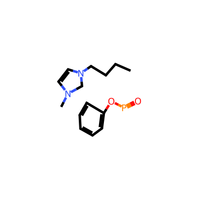 CCCCN1C=CN(C)C1.O=POc1ccccc1